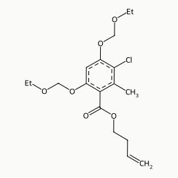 C=CCCOC(=O)c1c(OCOCC)cc(OCOCC)c(Cl)c1C